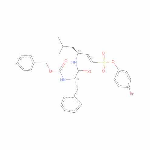 CC(C)C[C@@H](/C=C/S(=O)(=O)Oc1ccc(Br)cc1)NC(=O)[C@H](Cc1ccccc1)NC(=O)OCc1ccccc1